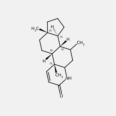 CC1CC2NC(=O)C=C[C@]2(C)[C@@H]2CC[C@]3(C)CCC[C@H]3[C@H]12